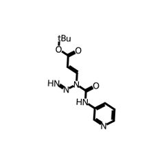 CC(C)(C)OC(=O)/C=C/N(N=N)C(=O)Nc1cccnc1